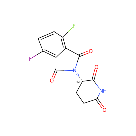 O=C1CC[C@H](N2C(=O)c3c(F)ccc(I)c3C2=O)C(=O)N1